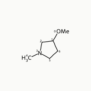 COC1[CH]N(C)CC1